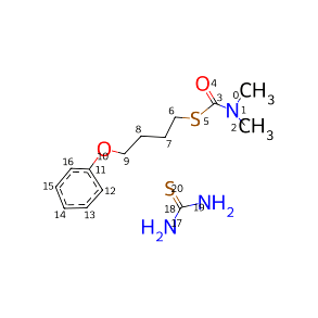 CN(C)C(=O)SCCCCOc1ccccc1.NC(N)=S